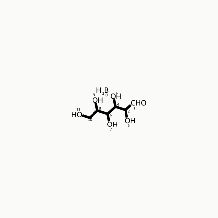 B.O=CC(O)C(O)C(O)C(O)CO